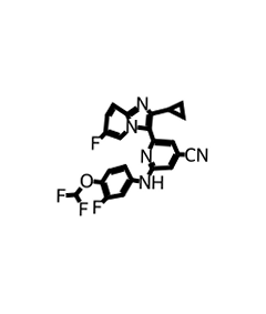 N#Cc1cc(Nc2ccc(OC(F)F)c(F)c2)nc(-c2c(C3CC3)nc3ccc(F)cn23)c1